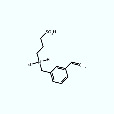 C=Cc1cccc(C[N+](CC)(CC)CCCS(=O)(=O)O)c1